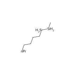 CCCCCCC[SiH2][SiH2]C